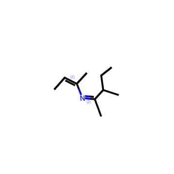 C/C=C(C)\N=C(\C)C(C)CC